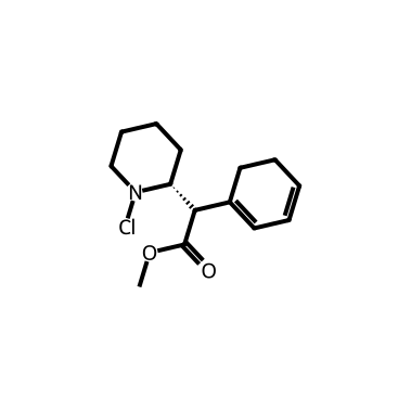 COC(=O)C(C1=CC=CCC1)[C@H]1CCCCN1Cl